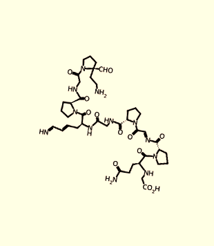 N=C/C=C/C[C@H](NC(=O)CNC(=O)[C@@H]1CCCN1C(=O)C=NC(=O)[C@@H]1CCCN1C(=O)[C@H](CCC(N)=O)NCC(=O)O)C(=O)N1CCC[C@H]1C(=O)NCC(=O)N1CCC[C@]1(C=O)CCN